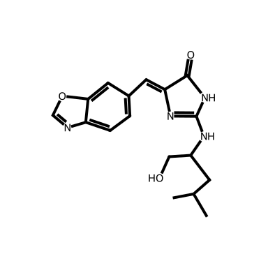 CC(C)CC(CO)NC1=N/C(=C\c2ccc3ncoc3c2)C(=O)N1